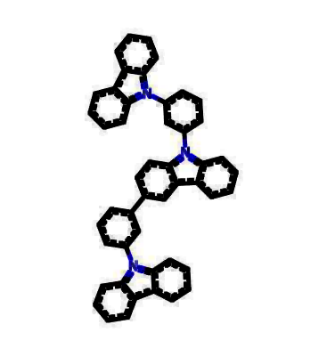 c1cc(-c2ccc3c(c2)c2ccccc2n3-c2cccc(-n3c4ccccc4c4ccccc43)c2)cc(-n2c3ccccc3c3ccccc32)c1